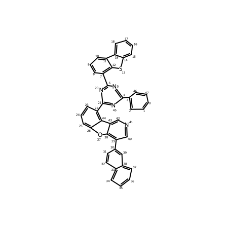 c1ccc(-c2nc(-c3cccc4c3sc3ccccc34)nc(-c3cccc4oc5c(-c6ccc7ccccc7c6)cncc5c34)n2)cc1